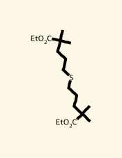 CCOC(=O)C(C)(C)CCCSCCCC(C)(C)C(=O)OCC